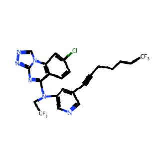 FC(F)(F)CCCCC#Cc1cncc(N(CC(F)(F)F)c2nc3nncn3c3cc(Cl)ccc23)c1